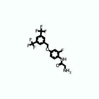 NCC(=O)Nc1ccc(OCc2cc(C(F)(F)F)cc(C(F)(F)F)c2)cc1F